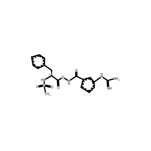 CS(=O)(=O)N[C@@H](Cc1ccccc1)C(=O)ONC(=O)c1cccc(NC(=N)N)c1